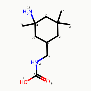 CC1(C)CC(CNC(=O)O)CC(C)(N)C1